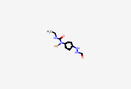 CCNC(=O)N(S)c1ccc(NNC=O)cc1